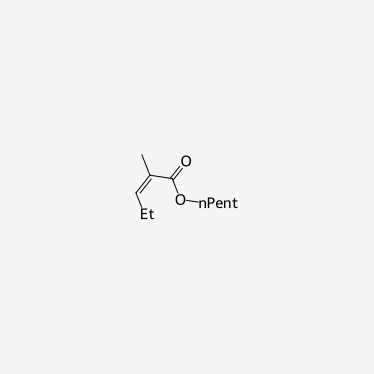 CCC=C(C)C(=O)OCCCCC